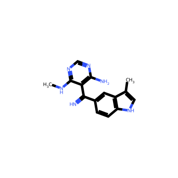 CNc1ncnc(N)c1C(=N)c1ccc2[nH]cc(C)c2c1